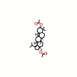 CC(=O)OC[C@]12CCC(C(C)C)=C1[C@H]1CC[C@@H]3[C@@]4(C)CC[C@H](OC(C)=O)C(C)(C)C4CC[C@@]3(C)[C@]1(C)CC2